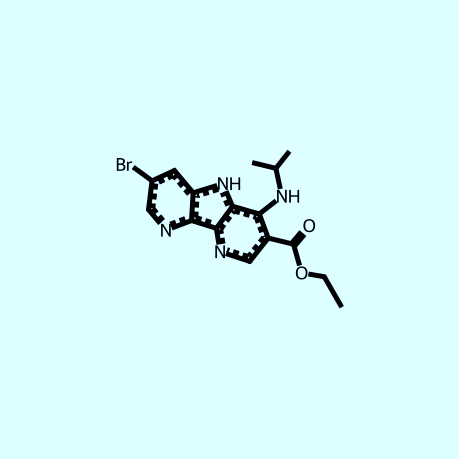 CCOC(=O)c1cnc2c([nH]c3cc(Br)cnc32)c1NC(C)C